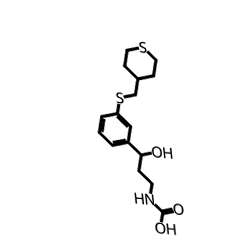 O=C(O)NCCC(O)c1cccc(SCC2CCSCC2)c1